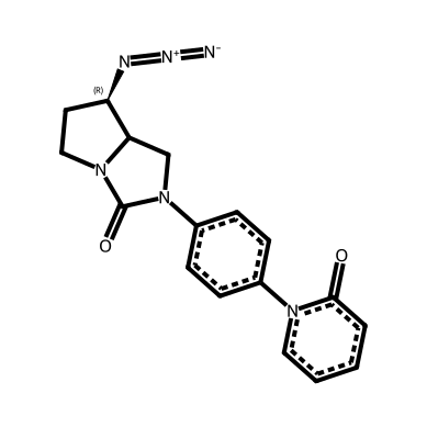 [N-]=[N+]=N[C@@H]1CCN2C(=O)N(c3ccc(-n4ccccc4=O)cc3)CC12